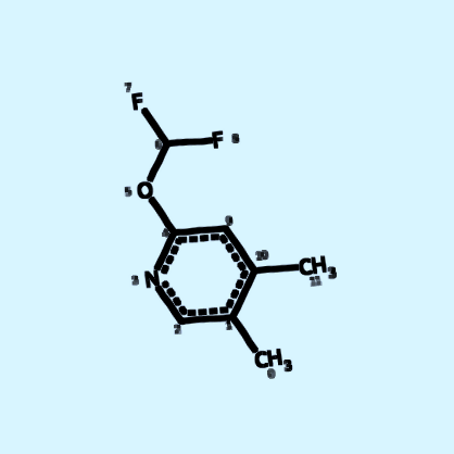 Cc1cnc(OC(F)F)cc1C